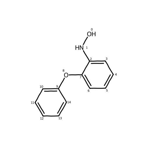 ONc1ccccc1Oc1ccccc1